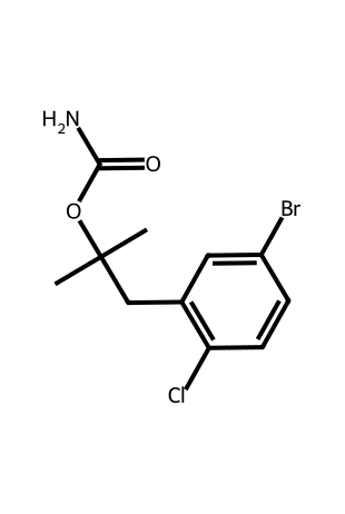 CC(C)(Cc1cc(Br)ccc1Cl)OC(N)=O